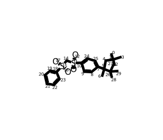 CC(C)(C)CC(C)(c1ccc(S(=O)(=O)CS(=O)(=O)c2ccccc2)cc1)C(C)(C)C